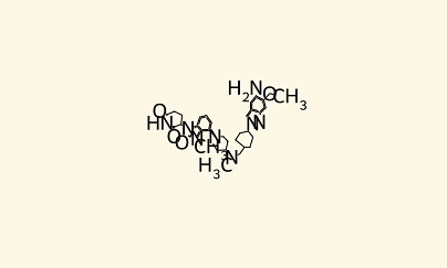 COc1cc2nn(C3CCC(CN(C)C4CCN(c5cccc6c5n(C)c(=O)n6C5CCC(=O)NC5=O)CC4)CC3)cc2cc1N